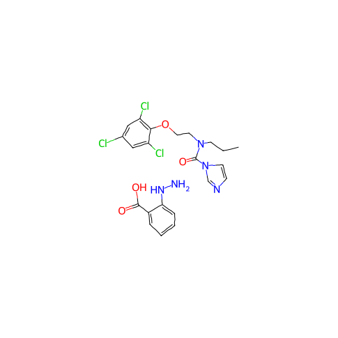 CCCN(CCOc1c(Cl)cc(Cl)cc1Cl)C(=O)n1ccnc1.NNc1ccccc1C(=O)O